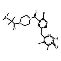 Cc1c(Cc2ccc(F)c(C(=O)N3CCN(C(=O)C(C)(C)N(C)C)CC3)c2)n[nH]c(=O)c1C